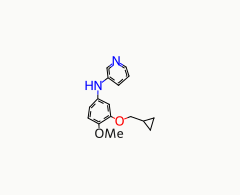 COc1ccc(Nc2cccnc2)cc1OCC1CC1